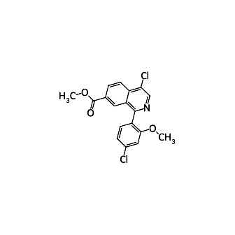 COC(=O)c1ccc2c(Cl)cnc(-c3ccc(Cl)cc3OC)c2c1